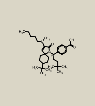 CCCCCN(C)C1=NC2(CCC(C(C)(C)C)CC2)N([C@H](CCC(C)(C)C)c2ccc(C(=O)O)cc2)C1=O